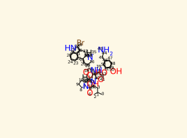 CC(C)C[C@H]1C(=O)N2CCC[C@H]2[C@]2(O)O[C@](NC(=O)[C@@H]3C=C4c5cccc6[nH]c(Br)c(c56)C[C@H]4N(C)C3)(C(C)C)C(=O)N12.NCCc1ccc(O)c(O)c1